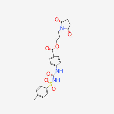 Cc1ccc(S(=O)(=O)NC(=O)Nc2ccc(C(=O)OCCCN3C(=O)CCC3=O)cc2)cc1